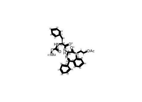 CC(=O)OCCN1C(=O)[C@H](NC(=O)[C@H](Cc2ccccc2)NC(=O)OC(C)(C)C)N=C(c2ccccc2)c2ccccc21